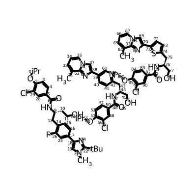 CC(C)Oc1ccc(C(=O)N[C@H](CCO)Cc2ccc(-c3cn(C)c(C(C)(C)C)n3)cc2F)cc1Cl.Cc1cccn2cc(-c3ccc(C[C@@H](CO)NC(=O)c4ccc(OC(C)C)c(Cl)c4)nc3)nc12.Cc1cccn2cc(-c3ccc(C[C@@H](CO)NC(=O)c4ccc(OC(C)C)c(Cl)c4)s3)nc12